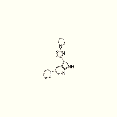 c1ccc(-c2cnc3[nH]cc(-c4csc(N5CCCC5)n4)c3c2)cc1